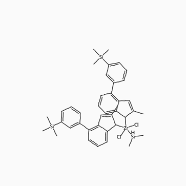 CC1=Cc2c(-c3cccc([Si](C)(C)C)c3)cccc2[CH]1[Zr]([Cl])([Cl])([CH]1C(C)=Cc2c(-c3cccc([Si](C)(C)C)c3)cccc21)[SiH](C)C